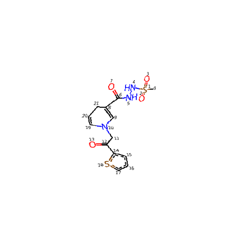 CS(=O)(=O)NNC(=O)C1=CN(CC(=O)c2cccs2)C=CC1